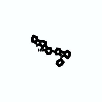 c1ccc(-n2c3ccccc3c3ccc(-c4ccc5[nH]c6c(ccc7c8ccccc8sc76)c5c4)cc32)cc1